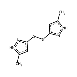 Cc1cc(SSc2cc(C)[nH]n2)n[nH]1